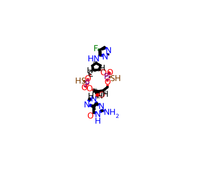 C[C@H]1[C@H]2OP(=O)(S)OC[C@H]3C[C@@H](Nc4ncncc4F)C[C@@H]3OP(=O)(S)OC[C@H]1O[C@H]2n1cnc2c(=O)[nH]c(N)nc21